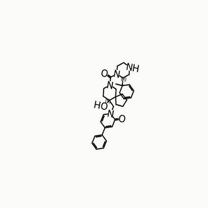 CC1([C@@H]2CNCCN2C(=O)N2CC[C@@](O)(Cn3ccc(-c4ccccc4)cc3=O)C3(CCCC3)C2)C=CC=CC1